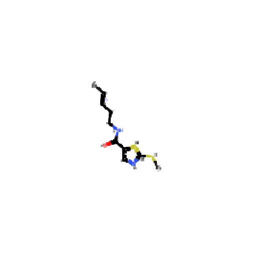 CC/C=C/CCNC(=O)c1cnc(SCC)s1